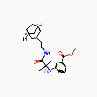 COC(=O)c1cccc(NC(C)(C)C(=O)NCCC2C[C@@H]3CC[C@@](F)(C2)C3)c1